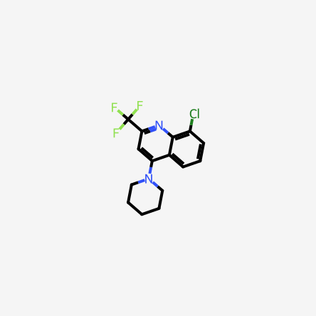 FC(F)(F)c1cc(N2CCCCC2)c2cccc(Cl)c2n1